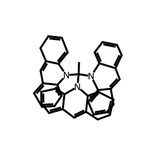 CC(N1C2=CC=CCC2=Cc2ccccc21)(N1C2=CC=CCC2=Cc2ccccc21)N1C2=CC=CCC2=Cc2ccccc21